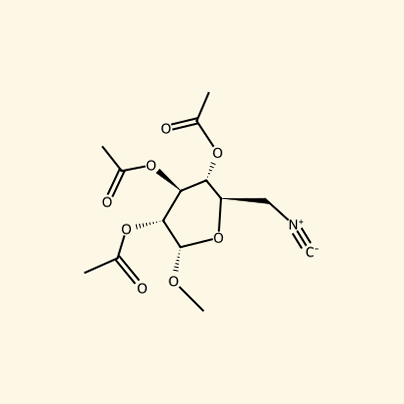 [C-]#[N+]C[C@H]1O[C@H](OC)[C@H](OC(C)=O)[C@@H](OC(C)=O)[C@@H]1OC(C)=O